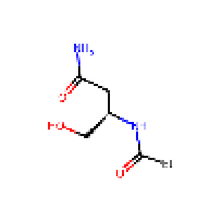 CCC(=O)N[C@@H](CO)CC(N)=O